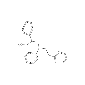 CCC(CC(CCc1ccccc1)c1ccccc1)c1ccccc1